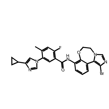 Cc1cc(F)c(C(=O)Nc2cccc3c2OCCn2cnc(Br)c2-3)cc1-n1cnc(C2CC2)c1